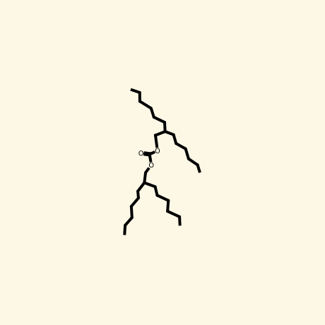 CCCCCCC(CCCCCC)COC(=O)OCC(CCCCCC)CCCCCC